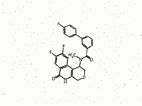 CN(C(=O)c1cccc(-c2ccc(F)cc2)c1)C1COCc2[nH]c(=O)c3cc(F)c(F)cc3c21